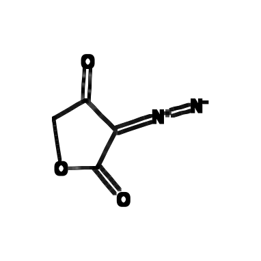 [N-]=[N+]=C1C(=O)COC1=O